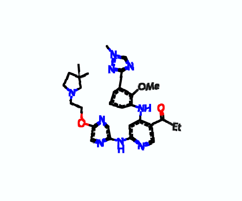 CCC(=O)c1cnc(Nc2cnc(OCCN3CCC(C)(C)C3)cn2)cc1Nc1cccc(-c2ncn(C)n2)c1OC